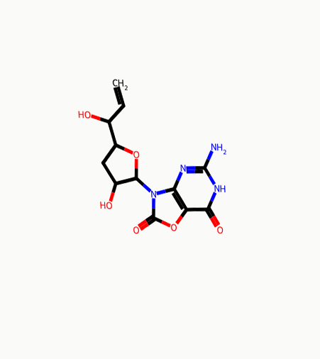 C=CC(O)C1CC(O)C(n2c(=O)oc3c(=O)[nH]c(N)nc32)O1